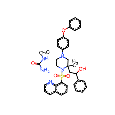 CC1(CC(O)c2ccccc2)CN(c2ccc(Oc3ccccc3)cc2)CCN1S(=O)(=O)c1cccc2cccnc12.NC(=O)NC=O